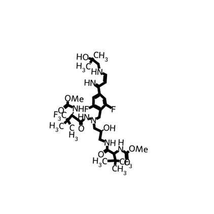 COC(=O)NC(C(=O)NC[C@@H](O)CN(Cc1c(F)cc(C(=N)/C=C\NCC(C)(C)O)cc1F)NC(=O)[C@@H](NC(=O)OC)C(C)(C)C(F)(F)F)C(C)(C)C(F)(F)F